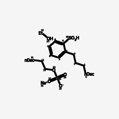 CCCCCCCCCCCCCc1ccccc1S(=O)(=O)O.CCCCCCCCCCCCOS(=O)(=O)[O-].CCO.[Na+]